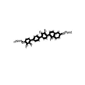 CCCCCCCCCOc1ccc(-c2ccc(-c3ccc(-c4ccc5c(c4F)CCC(CCCCC)C5)c(F)c3F)cc2)c(F)c1F